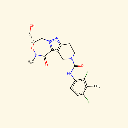 Cc1c(F)ccc(NC(=O)N2CCc3nn4c(c3C2)C(=O)N(C)O[C@H](CO)C4)c1F